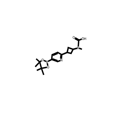 CN(C(=O)O)C1CC(c2ccc(B3OC(C)(C)C(C)(C)O3)cn2)C1